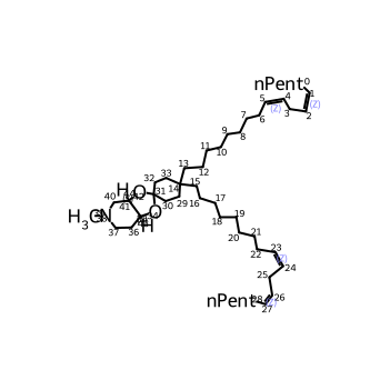 CCCCC/C=C\C/C=C\CCCCCCCCC1(CCCCCCCC/C=C\C/C=C\CCCCC)CCC2(CC1)O[C@H]1CCN(C)C[C@@H]1O2